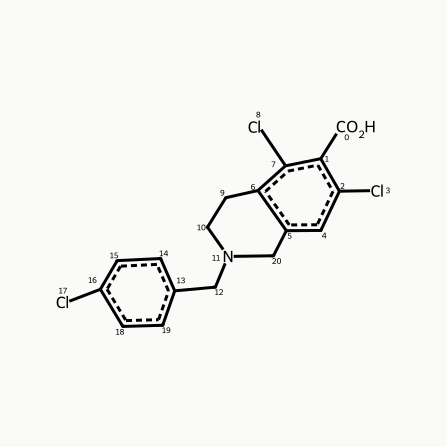 O=C(O)c1c(Cl)cc2c(c1Cl)CCN(Cc1ccc(Cl)cc1)C2